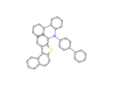 c1ccc(-c2ccc(N(c3ccccc3-c3ccccc3)c3cccc4c3sc3ccc5ccccc5c34)cc2)cc1